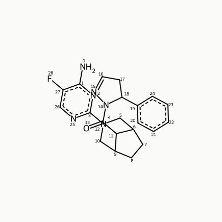 Nc1nc(N2CC3CCC(C2)C3C(=O)N2N=CCC2c2ccccc2)ncc1F